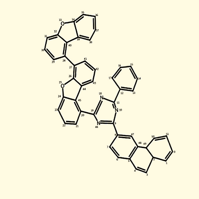 C1=CC2C=Cc3ccc(-c4nc(-c5ccccc5)nc(-c5cccc6oc7c(-c8cccc9oc%10ccccc%10c89)cccc7c56)n4)cc3C2C=C1